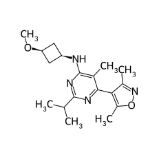 CO[C@H]1C[C@@H](Nc2nc(C(C)C)nc(-c3c(C)noc3C)c2C)C1